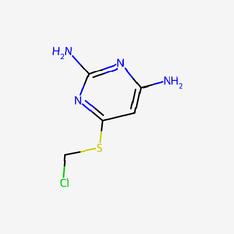 Nc1cc(SCCl)nc(N)n1